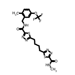 CNC(=O)c1nnc(CCCCc2nnc(C(=O)NCc3cc(OC(F)(F)F)ccc3C)s2)s1